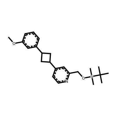 COc1cccc(C2CC(c3ccnc(CO[Si](C)(C)C(C)(C)C)c3)C2)c1